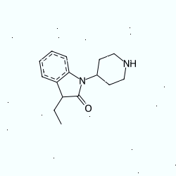 CCC1C(=O)N(C2CCNCC2)c2ccccc21